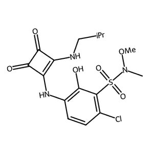 CON(C)S(=O)(=O)c1c(Cl)ccc(Nc2c(NCC(C)C)c(=O)c2=O)c1O